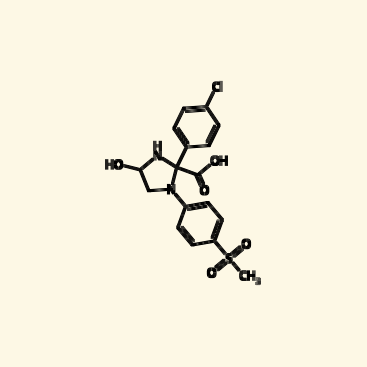 CS(=O)(=O)c1ccc(N2CC(O)NC2(C(=O)O)c2ccc(Cl)cc2)cc1